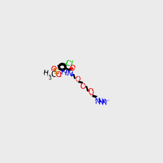 CS(=O)(=O)c1ccc(Cl)c(C(=O)NCCOCCOCCOCCN=[N+]=[N-])c1